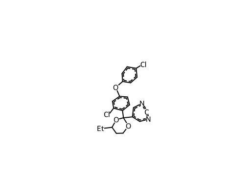 CCC1CCOC(c2cncnc2)(c2ccc(Oc3ccc(Cl)cc3)cc2Cl)O1